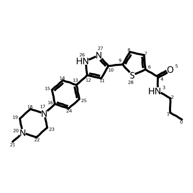 CCCNC(=O)c1ccc(-c2cc(-c3ccc(N4CCN(C)CC4)cc3)[nH]n2)s1